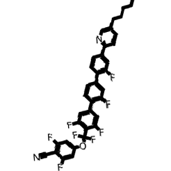 CCCCCc1ccc(-c2ccc(-c3ccc(-c4cc(F)c(C(F)(F)Oc5cc(F)c(C#N)c(F)c5)c(F)c4)c(F)c3)c(F)c2)nc1